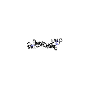 CC/N=C(\C=C\c1c(C)n(CC(=O)NCCSSCCNC(=O)Cn2c(C)c(/C=C/[N+]3(CC)CSc4ccccc43)c3ccccc32)c2ccccc12)Sc1ccccc1